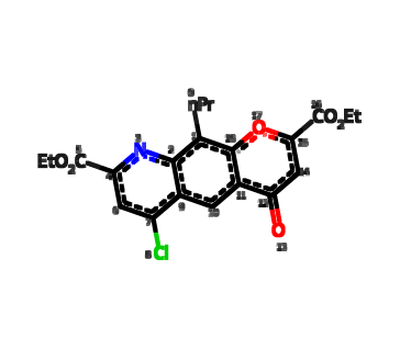 CCCc1c2nc(C(=O)OCC)cc(Cl)c2cc2c(=O)cc(C(=O)OCC)oc12